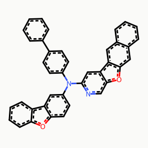 c1ccc(-c2ccc(N(c3ccc4oc5ccccc5c4c3)c3cc4c(cn3)oc3cc5ccccc5cc34)cc2)cc1